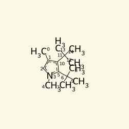 Cc1cn(C)c(C(C)(C)C)c1C(C)(C)C